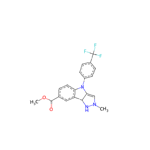 COC(=O)c1ccc2c(c1)C1NN(C)C=C1N2c1ccc(C(F)(F)F)cc1